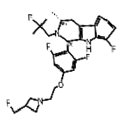 C[C@@H]1Cc2c([nH]c3c(F)cccc23)[C@@H](c2c(F)cc(OCCN3CC(CF)C3)cc2F)N1CC(C)(C)F